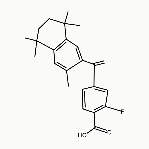 C=C(c1ccc(C(=O)O)c(F)c1)c1cc2c(cc1C)C(C)(C)CCC2(C)C